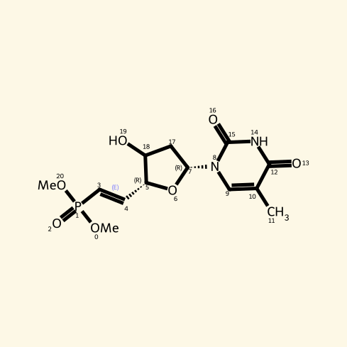 COP(=O)(/C=C/[C@H]1O[C@@H](n2cc(C)c(=O)[nH]c2=O)CC1O)OC